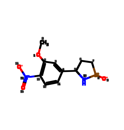 COc1cc(C2CC[S+]([O-])N2)ccc1[N+](=O)[O-]